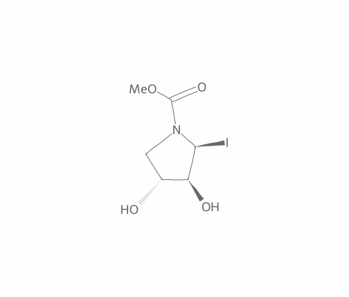 COC(=O)N1C[C@@H](O)[C@H](O)[C@@H]1I